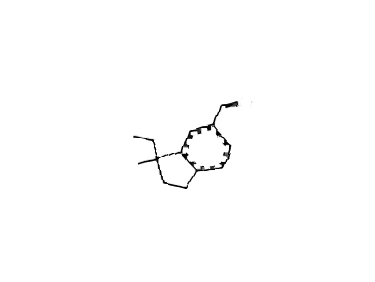 CCC1(C)CCc2ccc(C=O)cc21